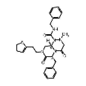 CN1CC(=O)N2[C@@H](Cc3ccccc3)C(=O)N(CCC3=CCCS3)C[C@@H]2N1C(=O)NCc1ccccc1